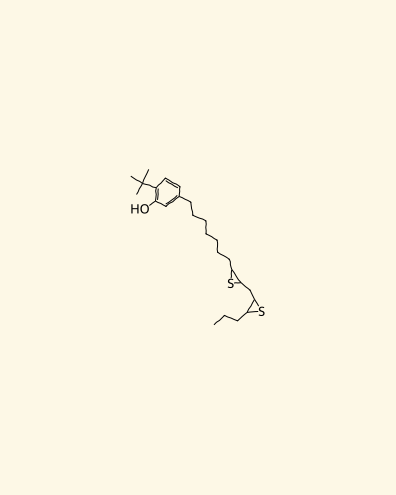 CCCC1SC1CC1SC1CCCCCCCc1ccc(C(C)(C)C)c(O)c1